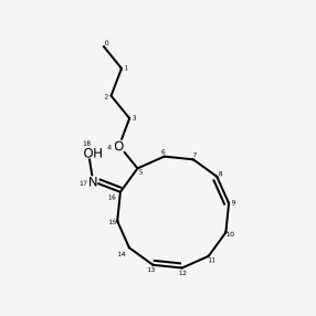 CCCCOC1CCC=CCCC=CCCC1=NO